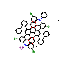 PN1c2cc(Br)ccc2C2c3c(cc(Br)cc31)-c1cc(-c3c(-c4ccccc4)cccc3-c3ccccc3)c3cc4c5c(cc(-c6c(-c7ccccc7)cccc6-c6ccccc6)c6cc2c1c3c65)-c1cc(Br)cc2c1B4c1ccc(Br)cc1N2c1ccccc1